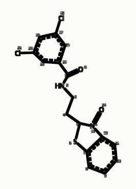 O=C(NCCC1Sc2ccccc2[N+]1=O)c1cc(Cl)cc(Cl)c1